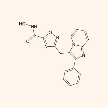 O=C(NO)c1nc(Cc2c(-c3ccccc3)nc3ccccn23)no1